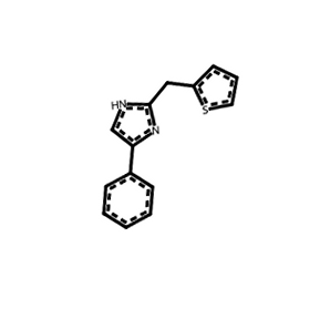 c1ccc(-c2c[nH]c(Cc3cccs3)n2)cc1